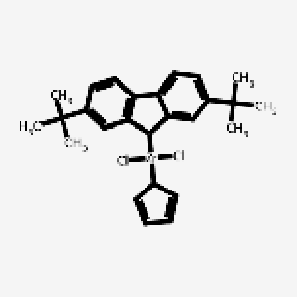 CC(C)(C)c1ccc2c(c1)[CH]([Zr]([Cl])([Cl])[CH]1C=CC=C1)c1cc(C(C)(C)C)ccc1-2